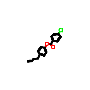 C=CCCc1ccc(OC(=O)c2ccc(Cl)cc2)cc1